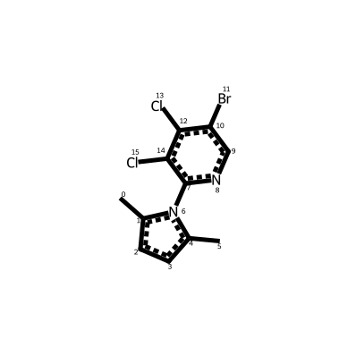 Cc1ccc(C)n1-c1ncc(Br)c(Cl)c1Cl